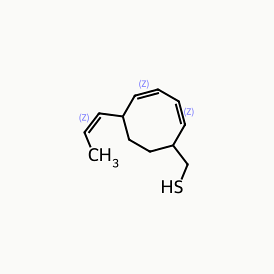 C/C=C\C1/C=C\C=C/C(CS)CC1